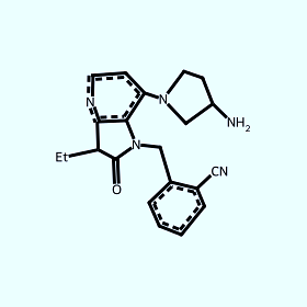 CCC1C(=O)N(Cc2ccccc2C#N)c2c(N3CCC(N)C3)ccnc21